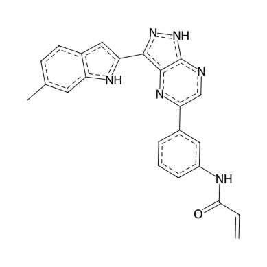 C=CC(=O)Nc1cccc(-c2cnc3[nH]nc(-c4cc5ccc(C)cc5[nH]4)c3n2)c1